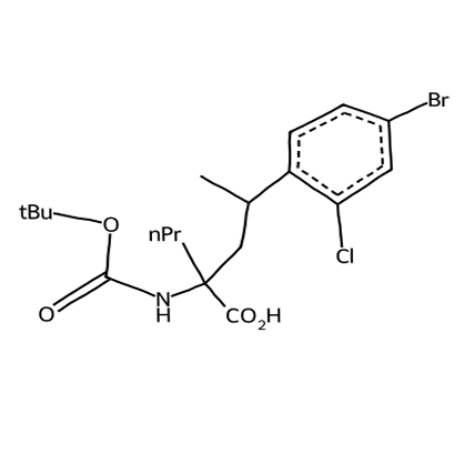 CCCC(CC(C)c1ccc(Br)cc1Cl)(NC(=O)OC(C)(C)C)C(=O)O